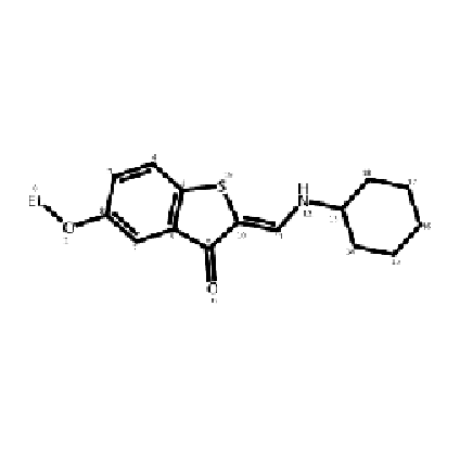 CCOc1ccc2c(c1)C(=O)/C(=C/NC1CCCCC1)S2